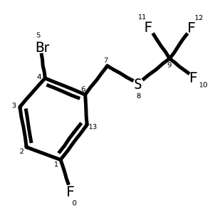 Fc1ccc(Br)c(CSC(F)(F)F)c1